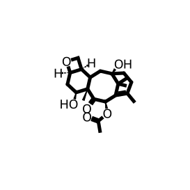 CC(=O)O[C@H]1C(=O)[C@@]2(C)C(C[C@]3(O)CCC(C)=C1C3(C)C)[C@@H]1CO[C@@H]1C[C@@H]2O